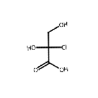 O=C(O)C(O)(Cl)CO